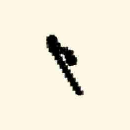 CCCCCCCCCCCCCCCCCCCCC(O[Si](C)(C)c1ccccc1)C(=O)O.C[N+](C)(C)Cc1ccccc1